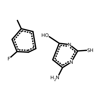 Cc1cccc(F)c1.Nc1cc(O)nc(S)n1